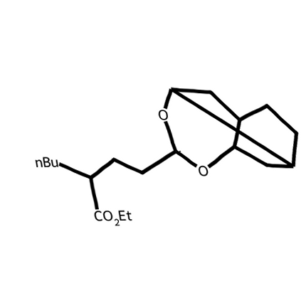 [CH2]CCCC(CC[C]1OC2CC3CCC2CC3O1)C(=O)OCC